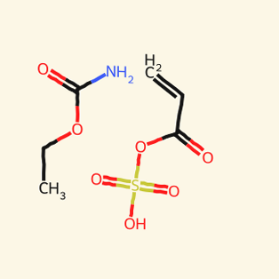 C=CC(=O)OS(=O)(=O)O.CCOC(N)=O